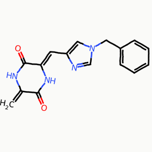 C=c1[nH]c(=O)c(=Cc2cn(Cc3ccccc3)cn2)[nH]c1=O